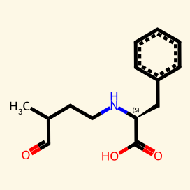 CC(C=O)CCN[C@@H](Cc1ccccc1)C(=O)O